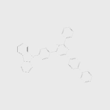 C1=CC2c3ccccc3N(c3ccc(-c4cc(-c5ccc(-c6ccccc6)cc5)nc(-c5ccccc5)n4)cc3)C2C=C1